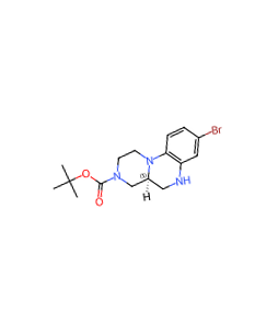 CC(C)(C)OC(=O)N1CCN2c3ccc(Br)cc3NC[C@H]2C1